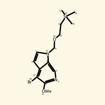 COc1ncc2c(ccn2COCC[Si](C)(C)C)c1Br